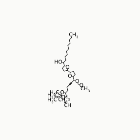 C#CCCC(CCC#CC(OCOC)C1CCC(C2CCC(C(O)CCCCCCCCCC)O2)O1)O[Si](C)(C)C(C)(C)C